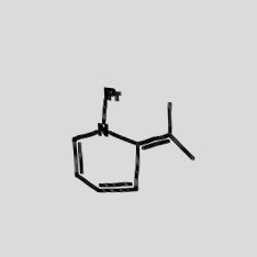 CC(C)=C1C=CC=CN1C(C)C